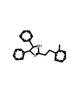 Cc1ccccc1CCC1=NC(c2ccccc2)C(c2ccccc2)N1